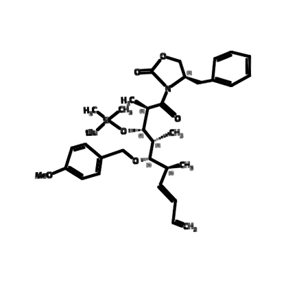 C=CC=C[C@H](C)[C@H](OCc1ccc(OC)cc1)[C@@H](C)[C@H](O[Si](C)(C)C(C)(C)C)[C@@H](C)C(=O)N1C(=O)OC[C@H]1Cc1ccccc1